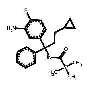 CS(C)(C)C(=O)NC(CCC1CC1)(c1ccccc1)c1ccc(F)c(N)c1